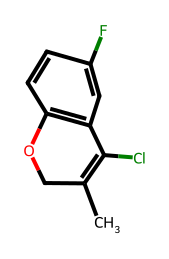 CC1=C(Cl)c2cc(F)ccc2OC1